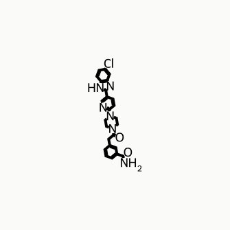 NC(=O)c1cccc(CC(=O)N2CCN(c3ccc(-c4nc5cc(Cl)ccc5[nH]4)cn3)CC2)c1